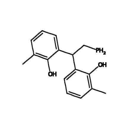 Cc1cccc(C(CP)c2cccc(C)c2O)c1O